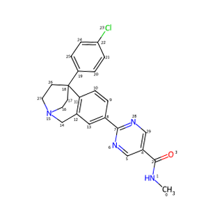 CNC(=O)c1cnc(-c2ccc3c(c2)CN2CCC3(c3ccc(Cl)cc3)CC2)nc1